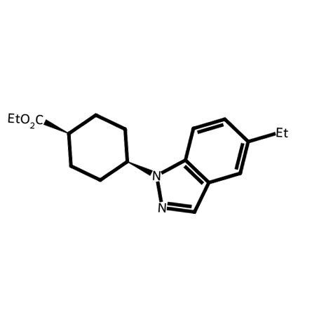 CCOC(=O)[C@H]1CC[C@@H](n2ncc3cc(CC)ccc32)CC1